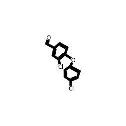 O=Cc1ccc(Oc2ccc(Cl)cc2)c(Cl)c1